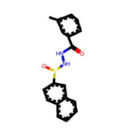 Cc1cccc(C(=O)NN[S+]([O-])c2ccc3ccccc3c2)c1